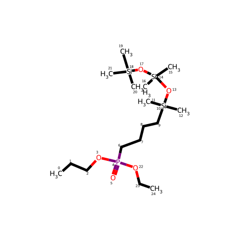 CCCOP(=O)(CCCC[Si](C)(C)O[Si](C)(C)O[Si](C)(C)C)OCC